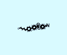 CCCCCC1CCC(c2ccc(C(=O)Oc3ccc(C#N)cc3)cc2)CC1